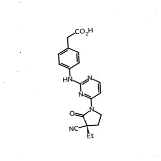 CC[C@]1(C#N)CCN(c2ccnc(Nc3ccc(CC(=O)O)cc3)n2)C1=O